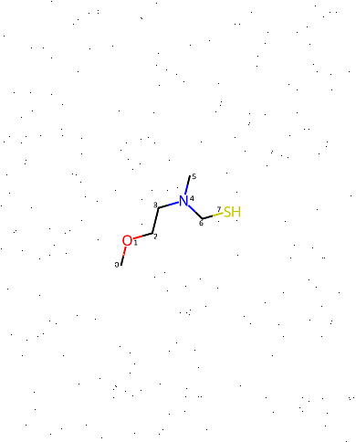 COCCN(C)CS